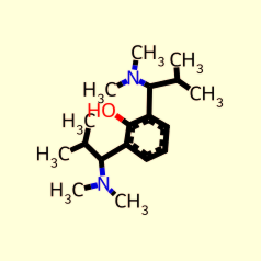 CC(C)C(c1cccc(C(C(C)C)N(C)C)c1O)N(C)C